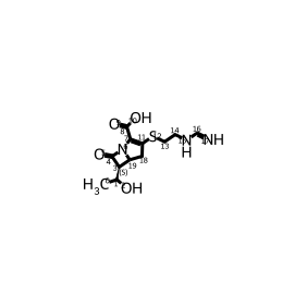 CC(O)[C@H]1C(=O)N2C(C(=O)O)=C(SCCNC=N)CC12